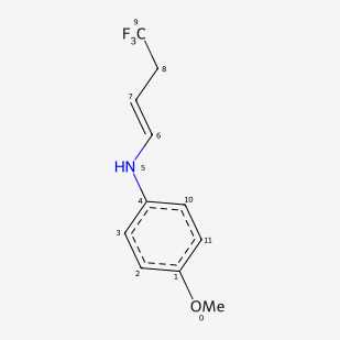 COc1ccc(NC=CCC(F)(F)F)cc1